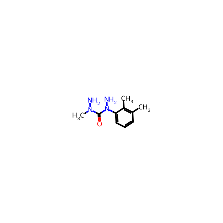 Cc1cccc(N(N)C(=O)N(C)N)c1C